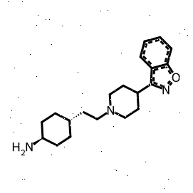 N[C@H]1CC[C@H](CCN2CCC(c3noc4ccccc34)CC2)CC1